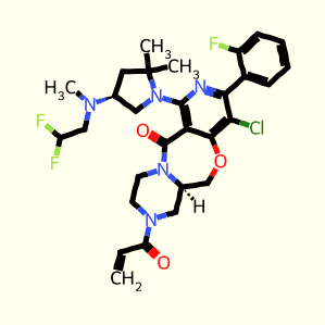 C=CC(=O)N1CCN2C(=O)c3c(N4C[C@@H](N(C)CC(F)F)CC4(C)C)nc(-c4ccccc4F)c(Cl)c3OC[C@H]2C1